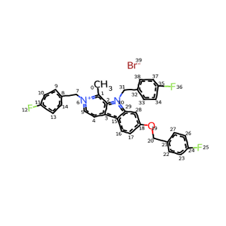 Cc1c2c(cc[n+]1Cc1ccc(F)cc1)c1ccc(OCc3ccc(F)cc3)cc1n2Cc1ccc(F)cc1.[Br-]